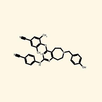 Cc1cc(C#N)cc(C)c1Oc1nc(Nc2ccc(C#N)cc2)nc2c1CCN(Cc1ccc(O)cc1)CC2